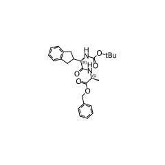 C[C@H](NC(=O)[C@H](NC(=O)OC(C)(C)C)C1Cc2ccccc2C1)C(=O)OCc1ccccc1